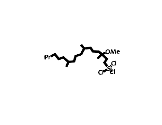 COC(C)(CCCC(C)CCCC(C)CCCC(C)C)CC[Si](Cl)(Cl)Cl